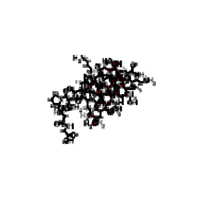 CC[C@H](C)[C@H](NC(=O)[C@H](CC(N)=O)NC(=O)[C@H](CC(=O)O)NC(=O)[C@H](CCCCN)NC(=O)[C@H](CO)NC(=O)CNC(=O)[C@H](CS)NC(=O)[C@H](CCCCN)NC(=O)[C@H](CO)NC(=O)[C@H](CCC(N)=O)NC(=O)[C@@H](NC(=O)[C@H](CC(N)=O)NC(=O)[C@H](CO)NC(=O)[C@@H](N)CC(C)C)C(C)C)C(=O)N[C@@H](CCCCN)C(=O)N[C@@H](Cc1c[nH]cn1)C(=O)N[C@H](C(=O)N1CCC[C@H]1C(=O)NCC(=O)NCC(=O)O)C(C)C